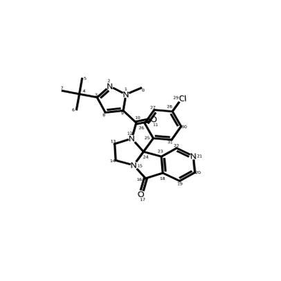 Cn1nc(C(C)(C)C)cc1C(=O)N1CCN2C(=O)c3ccncc3C21c1ccc(Cl)cc1